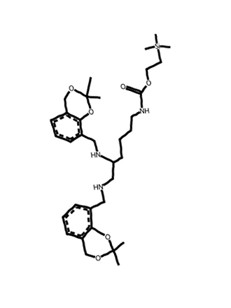 CC1(C)OCc2cccc(CNCC(CCCCNC(=O)OCC[Si](C)(C)C)NCc3cccc4c3OC(C)(C)OC4)c2O1